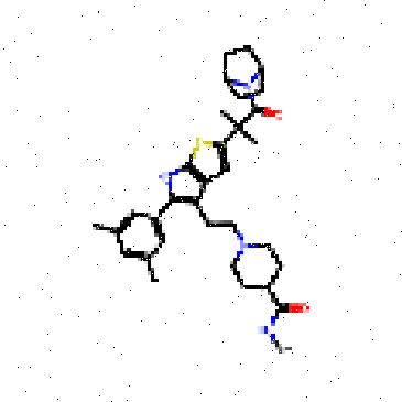 Cc1cc(C)cc(-c2[nH]c3sc(C(C)(C)C(=O)N4C5CCC4CC5)cc3c2CCN2CCC(C(=O)NC(C)C)CC2)c1